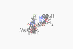 COc1cc(C(=O)N2C=C(c3ccc(F)cc3)CC2)c(NC(=O)OCc2ccc(NC(=O)[C@H](C)NC(=O)[C@@H](NC(=O)O)C(C)C)cc2)cc1O[Si](C(C)C)(C(C)C)C(C)C